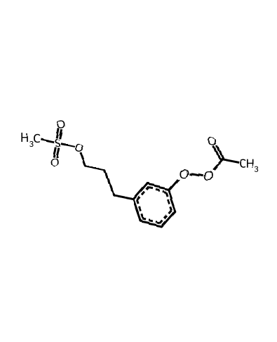 CC(=O)OOc1cccc(CCCOS(C)(=O)=O)c1